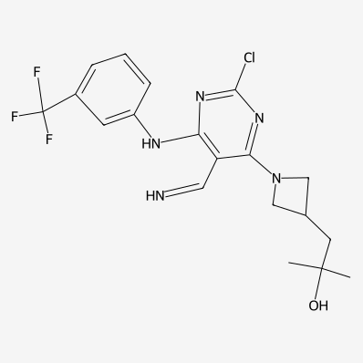 CC(C)(O)CC1CN(c2nc(Cl)nc(Nc3cccc(C(F)(F)F)c3)c2C=N)C1